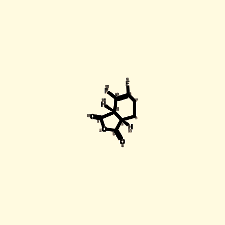 O=C1OC(=O)[C@H]2CCC(F)=C(F)[C@@H]12